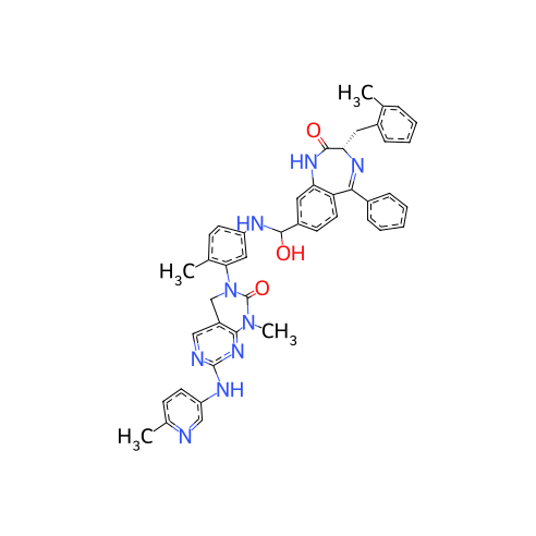 Cc1ccc(Nc2ncc3c(n2)N(C)C(=O)N(c2cc(NC(O)c4ccc5c(c4)NC(=O)[C@H](Cc4ccccc4C)N=C5c4ccccc4)ccc2C)C3)cn1